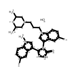 CC1CN(CCCn2cc(-n3c(-c4cn(C)c5ccc(F)cc45)n[nH]c3=O)c3cc(F)ccc32)CC(C)O1.Cl